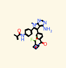 C=C(C)C(=O)Nc1ccc(-c2c(-c3ccc(C(=O)N4CC5CC4(C(F)F)C5)cc3)c3c(N)ncnc3n2C)cc1